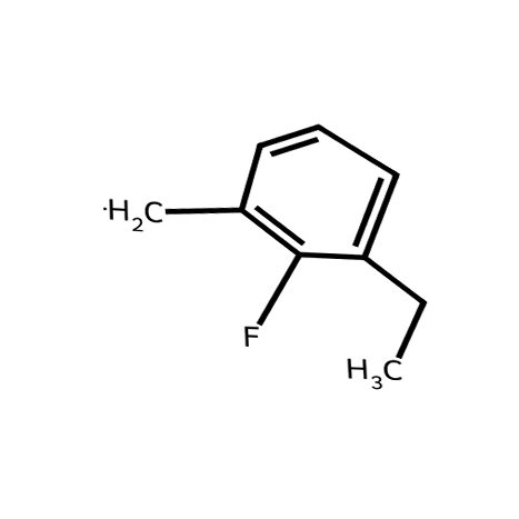 [CH2]c1cccc(CC)c1F